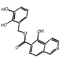 O=C(OCc1cccc(O)c1O)c1ccc2cnccc2c1O